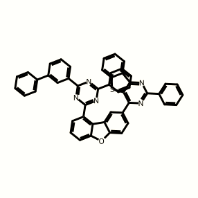 c1ccc(-c2cccc(-c3nc(-c4ccccc4)nc(-c4cccc5oc6ccc(-c7nc(-c8ccccc8)nc8c7sc7ccccc78)cc6c45)n3)c2)cc1